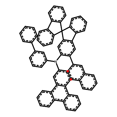 c1ccc(-c2cccc(N(c3ccc4c5ccccc5c5ccccc5c4c3)c3cc4c(cc3-c3ccc5ccccc5c3)-c3ccccc3C43c4ccccc4-c4ccccc43)c2)cc1